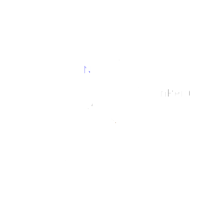 CCCCCC1C=NC2(CCCCC2)S1